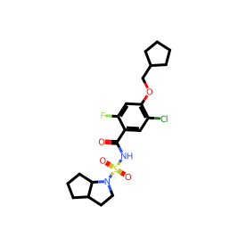 O=C(NS(=O)(=O)N1CCC2CCCC21)c1cc(Cl)c(OCC2CCCC2)cc1F